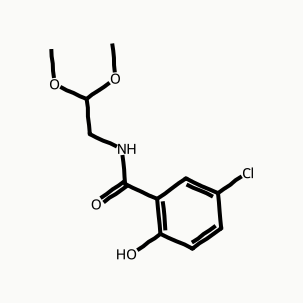 COC(CNC(=O)c1cc(Cl)ccc1O)OC